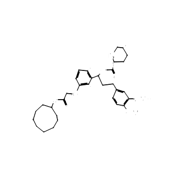 COc1ccc(CCC(OC(=O)[C@@H]2CCCCN2)c2cccc(OCC(=O)OC3CCCCCCCC3)c2)cc1OC